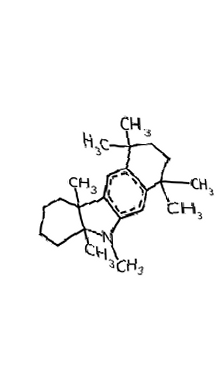 CN1c2cc3c(cc2C2(C)CCCCC12C)C(C)(C)CCC3(C)C